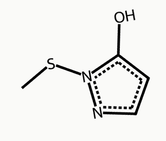 CSn1nccc1O